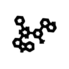 Brc1cc(-c2nc(-c3ccccc3)nc(-c3cccc4sc5ccccc5c34)n2)cc(-c2cccc3ncccc23)c1